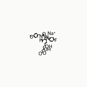 COc1ccc(CNC(=O)c2nn(-c3ccc(F)cc3)c(C=C[C@H](O)C[C@@H](O)CC(=O)[O-])c2C(C)C)cc1.[Na+]